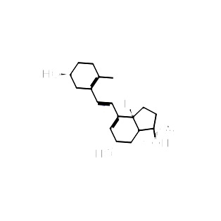 CC(=O)[C@@]1(O)CC[C@H]2C(/C=C/C3=C(C)CC[C@H](O)C3)=C[C@@H](O)C[C@@]21C